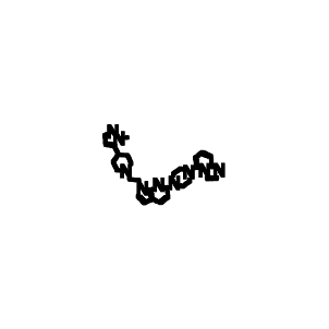 Cn1nccc1C1CCN(CCn2ccc3ccc(N4CCN(c5cccc6nccn56)CC4)nc32)CC1